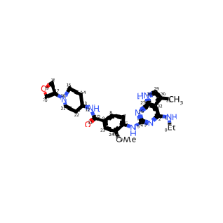 CCNc1nc(Nc2ccc(C(=O)NC3CCN(C4COC4)CC3)cc2OC)nc2[nH]cc(C)c12